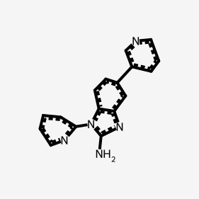 Nc1nc2cc(-c3cccnc3)ccc2n1-c1ccccn1